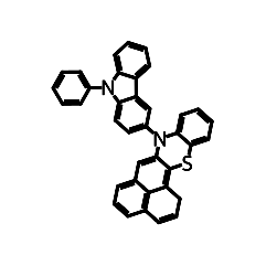 C1=Cc2cccc3cc4c(c(c23)C1)Sc1ccccc1N4c1ccc2c(c1)c1ccccc1n2-c1ccccc1